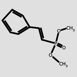 COP(=O)(C=Cc1ccccc1)OC